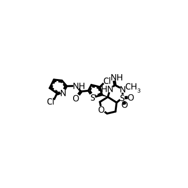 CN1C(=N)N[C@@]2(c3sc(C(=O)Nc4cccc(Cl)n4)cc3Cl)COCCC2S1(=O)=O